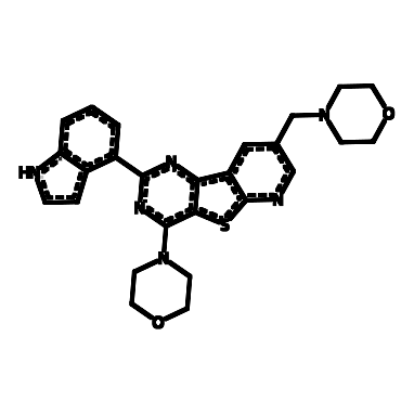 c1cc(-c2nc(N3CCOCC3)c3sc4ncc(CN5CCOCC5)cc4c3n2)c2cc[nH]c2c1